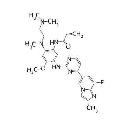 C=CC(=O)Nc1cc(Nc2nccc(-c3cc(F)c4nc(C)cn4c3)n2)c(OC)cc1N(C)CCN(C)C